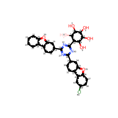 Bc1c(O)c(O)c(O)c(O)c1-c1nc(-c2ccc3c(c2)oc2ccccc23)nc(-c2ccc3c(c2)oc2ccc(Cl)cc23)n1